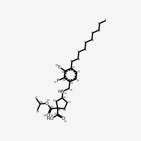 CCCCCCCCCCc1ccc(CNC2CCC(C(=O)O)(C(=O)OC(C)C)C2)c(F)c1F